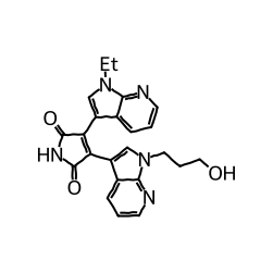 CCn1cc(C2=C(c3cn(CCCO)c4ncccc34)C(=O)NC2=O)c2cccnc21